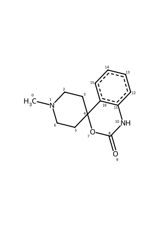 CN1CCC2(CC1)OC(=O)Nc1ccccc12